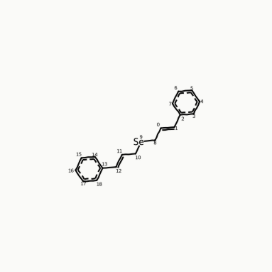 C(=Cc1ccccc1)C[Se]CC=Cc1ccccc1